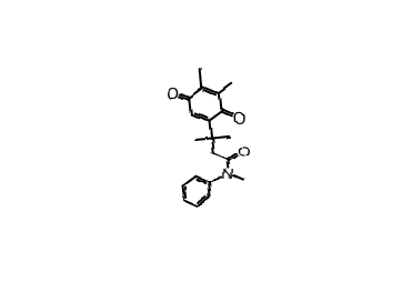 CC1=C(C)C(=O)C(C(C)(C)CC(=O)N(C)c2ccccc2)=CC1=O